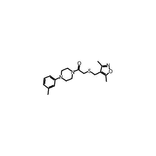 Cc1cccc(N2CCN(C(=O)CSCc3c(C)noc3C)CC2)c1